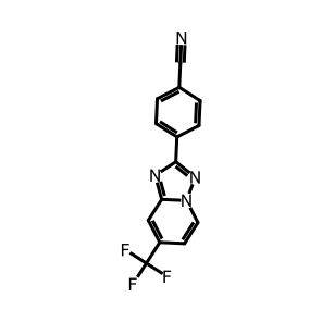 N#Cc1ccc(-c2nc3cc(C(F)(F)F)ccn3n2)cc1